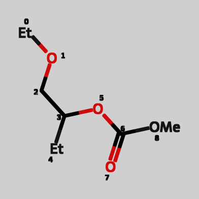 CCOCC(CC)OC(=O)OC